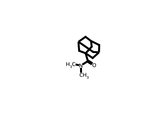 CN(C)C(=O)C12CC3CC(CC(C3)C1)C2